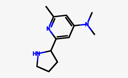 Cc1cc(N(C)C)cc(C2CCCN2)n1